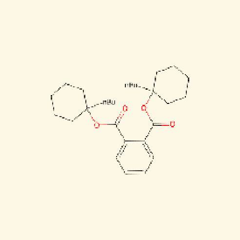 CCCCC1(OC(=O)c2ccccc2C(=O)OC2(CCCC)CCCCC2)CCCCC1